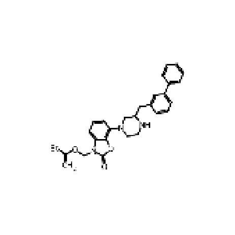 C=C(CC)OCn1c(=O)oc2c(N3CCNC(Cc4cccc(-c5ccccc5)c4)C3)cccc21